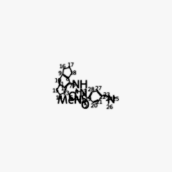 CN[S@@](=O)(=NC(=O)Nc1c2c(cc3c1CCC3)CCC2)c1ccc(CN(C)C)cc1